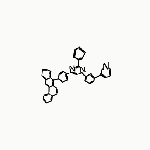 c1ccc(-c2nc(-c3ccc(-c4c5ccccc5cc5c4ccc4ccccc45)cc3)cc(-c3cccc(-c4cccnc4)c3)n2)cc1